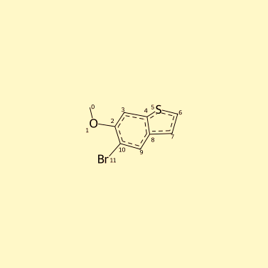 COc1cc2sccc2cc1Br